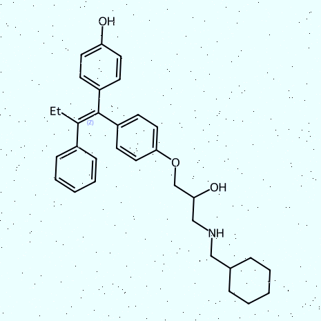 CC/C(=C(\c1ccc(O)cc1)c1ccc(OCC(O)CNCC2CCCCC2)cc1)c1ccccc1